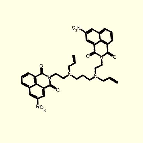 C=CCN(CCCN(CC=C)CCN1C(=O)c2cccc3cc([N+](=O)[O-])cc(c23)C1=O)CCN1C(=O)c2cccc3cc([N+](=O)[O-])cc(c23)C1=O